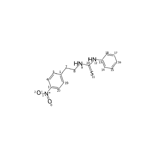 O=[N+]([O-])c1ccc(CCNC(=S)Nc2cc[c]cc2)cc1